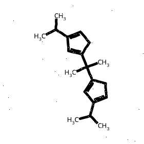 CC(C)C1=CCC(C(C)(C)C2=CC(C(C)C)=CC2)=C1